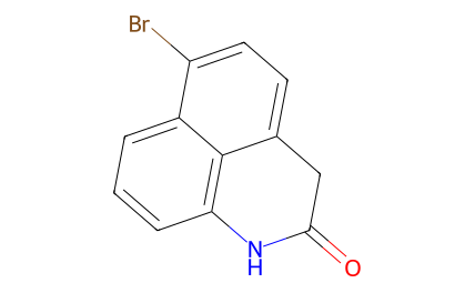 O=C1Cc2ccc(Br)c3cccc(c23)N1